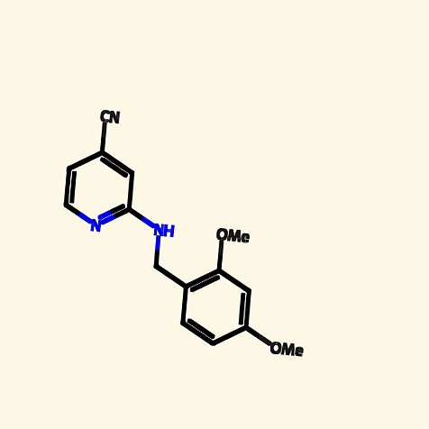 COc1ccc(CNc2cc(C#N)ccn2)c(OC)c1